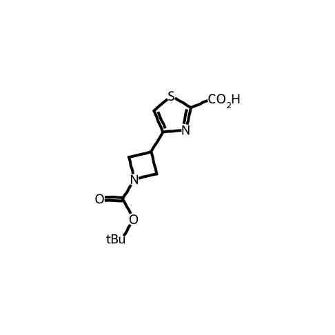 CC(C)(C)OC(=O)N1CC(c2csc(C(=O)O)n2)C1